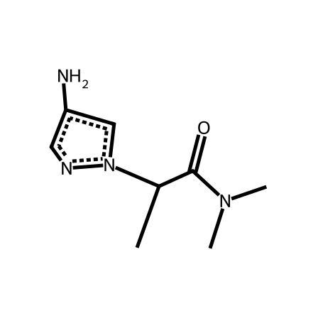 CC(C(=O)N(C)C)n1cc(N)cn1